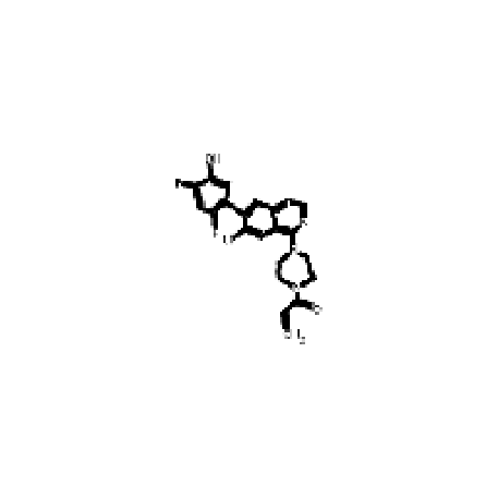 C=CC(=O)N1CCN(c2ncnc3cc(-c4cc(O)c(F)cc4F)c(Cl)cc23)CC1